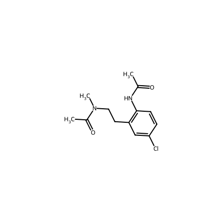 CC(=O)Nc1ccc(Cl)cc1CCN(C)C(C)=O